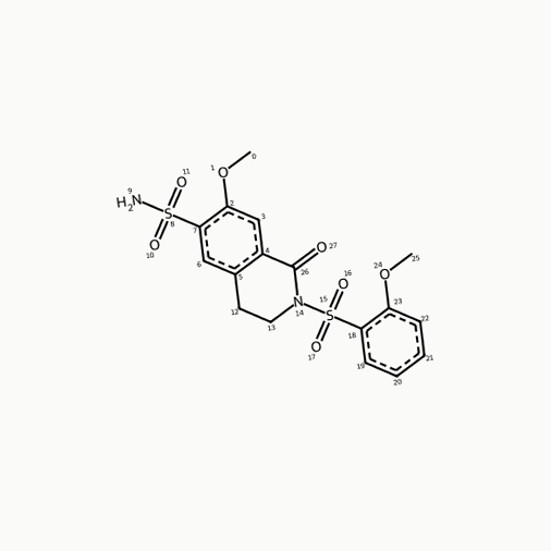 COc1cc2c(cc1S(N)(=O)=O)CCN(S(=O)(=O)c1ccccc1OC)C2=O